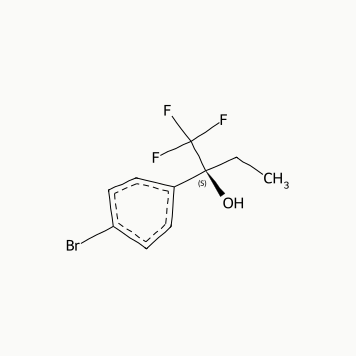 CC[C@](O)(c1ccc(Br)cc1)C(F)(F)F